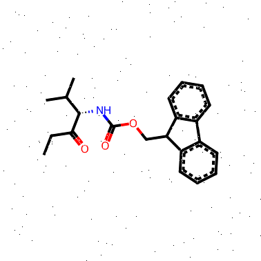 CCC(=O)[C@@H](NC(=O)OCC1c2ccccc2-c2ccccc21)C(C)C